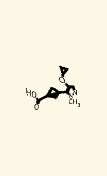 Cn1ncc(OC2CC2)c1C12CC(C(=O)O)(C1)C2